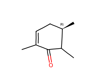 CC1=CC[C@@H](C)C(C)C1=O